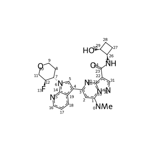 CNc1cc(-c2cn([C@H]3CCOC[C@@H]3F)c3ncccc23)nc2c(C(=O)N[C@@H]3CC[C@@H]3O)cnn12